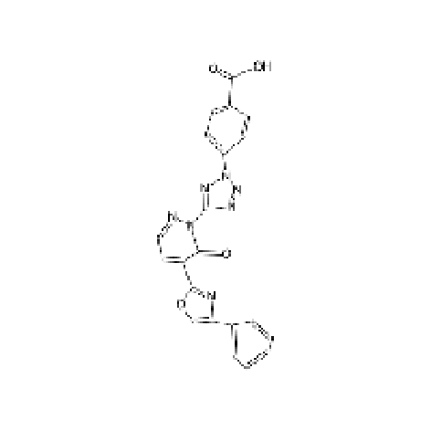 O=C(O)c1ccc(-n2nnc(-n3nccc(-c4nc(-c5ccccc5)co4)c3=O)n2)cc1